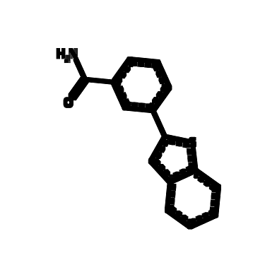 NC(=O)c1cccc(-c2cc3ccccc3s2)c1